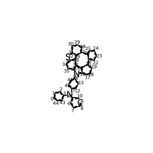 c1ccc(N(c2ccccc2)c2ccc(-n3c4cccc5c6ccccc6c6cccc7sc8ccc3c(c8c76)c54)cc2)cc1